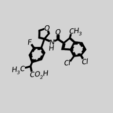 CC(C(=O)O)c1ccc(C2(NC(=O)C3=Cc4c(ccc(Cl)c4Cl)C3C)CCOC2)c(F)c1